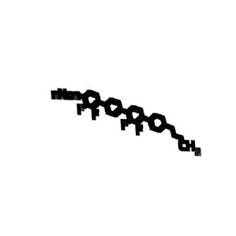 C=CCCC1CC=C(c2ccc(-c3ccc(-c4ccc(CCCCCCCCC)c(F)c4F)cc3)c(F)c2F)CC1